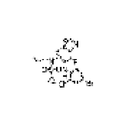 C=CCN(c1cc2scnc2c(F)c1Nc1ccc(Br)cc1Cl)S(=O)(=O)C1CC1